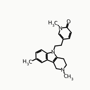 Cc1ccc2c(c1)c1c(n2CCc2ccc(=O)n(C)c2)CCN(C)C1